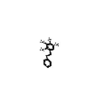 CC(=O)c1cc(CCc2ccccc2)c(C(C)=O)c(C(C)=O)c1C(C)=O